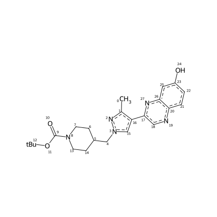 Cc1nn(CC2CCN(C(=O)OC(C)(C)C)CC2)cc1-c1cnc2ccc(O)cc2n1